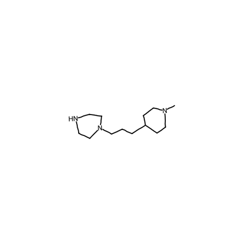 CN1CCC(CCCN2CCNCC2)CC1